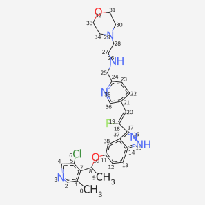 Cc1cncc(Cl)c1C(C)Oc1ccc2[nH]nc(/C(F)=C/c3ccc(CNCCN4CCOCC4)nc3)c2c1